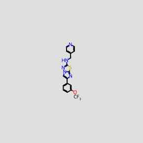 FC(F)(F)Oc1cccc(-c2cn3nc(NCc4ccncc4)sc3n2)c1